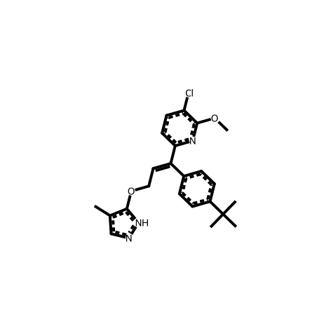 COc1nc(/C(=C/COc2[nH]ncc2C)c2ccc(C(C)(C)C)cc2)ccc1Cl